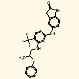 CC(CNc1nc(Nc2ccc3c(c2)CC(=O)N3)ncc1C(F)(F)F)Oc1cccnc1